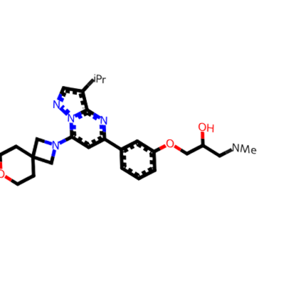 CNCC(O)COc1cccc(-c2cc(N3CC4(CCOCC4)C3)n3ncc(C(C)C)c3n2)c1